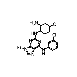 CCn1cnc2c(Nc3cccc(Cl)c3)nc(NC3CCC(O)CC3N)nc21